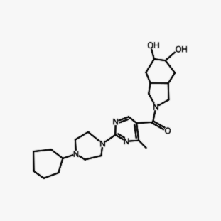 Cc1nc(N2CCN(C3CCCCC3)CC2)ncc1C(=O)N1CC2CC(O)C(O)CC2C1